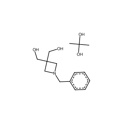 CC(C)(O)O.OCC1(CO)CN(Cc2ccccc2)C1